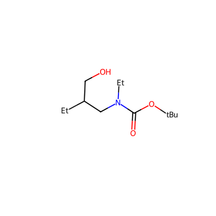 CCC(CO)CN(CC)C(=O)OC(C)(C)C